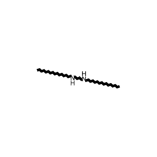 CCCCCCCCCCCCCCCCNC[CH]CCNCCCCCCCCCCCCCCCC